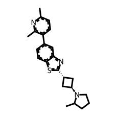 Cc1ccc(-c2ccc3sc([C@H]4C[C@H](N5CCCC5C)C4)nc3c2)c(C)n1